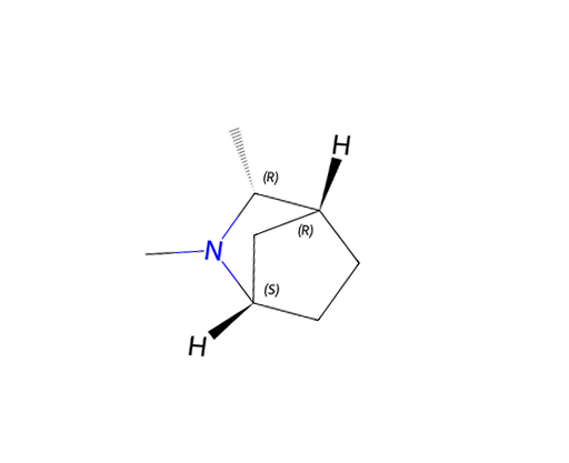 C[C@@H]1[C@@H]2CC[C@@H](C2)N1C